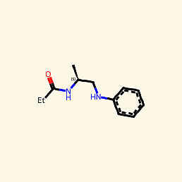 CCC(=O)N[C@@H](C)CNc1ccccc1